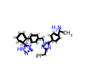 CC(C)Cc1nc(-c2ccc(C(C)N)cc2)n(Cc2ccc(-c3ccccc3-c3nnn[nH]3)cc2)n1